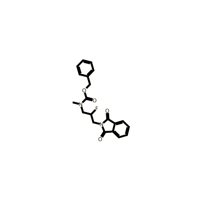 CN(CC(F)CN1C(=O)c2ccccc2C1=O)C(=O)OCc1ccccc1